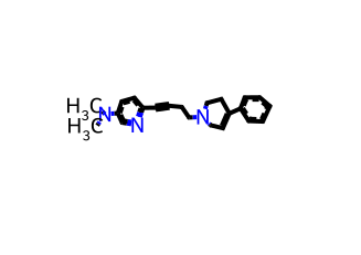 CN(C)c1ccc(C#CCCN2CC=C(c3ccccc3)CC2)nc1